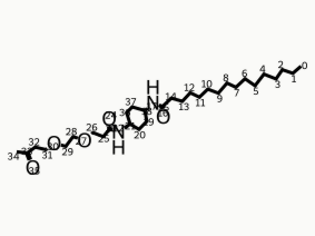 CCCCCCCCCCCCCCCC(=O)NC1CCC(NC(=O)CCOCCOCCC(C)=O)CC1